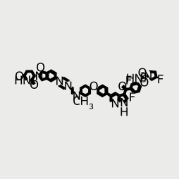 CN(CCN1CCN(c2ccc3c(c2)CN(C2CCC(=O)NC2=O)C3=O)CC1)C1CCC(Oc2ccc(-c3cnc4[nH]cc(C(=O)c5c(F)ccc(NS(=O)(=O)N6CC[C@@H](F)C6)c5F)c4c3)cc2)CC1